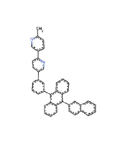 Cc1ccc(-c2ccc(-c3cccc(-c4c5ccccc5c(-c5ccc6ccccc6c5)c5ccccc45)c3)cn2)cn1